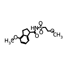 COCCS(=O)(=O)NC(=O)C1CCc2c(OC)cccc21